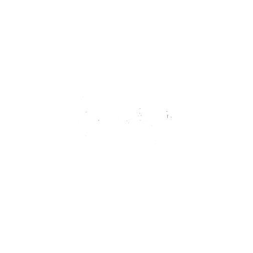 CNC(=O)Nc1ccc2c(c1)C(=O)CC2=O